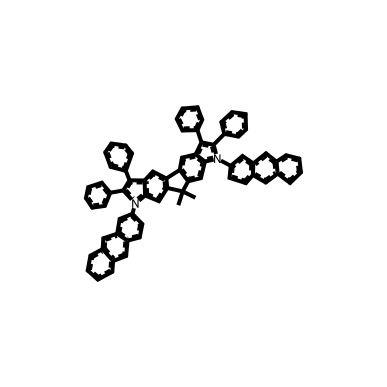 CC1(C)c2cc3c(cc2-c2cc4c(-c5ccccc5)c(-c5ccccc5)n(-c5ccc6cc7ccccc7cc6c5)c4cc21)c(-c1ccccc1)c(-c1ccccc1)n3-c1ccc2cc3ccccc3cc2c1